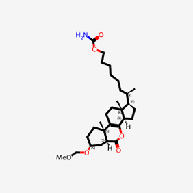 COCO[C@H]1CC[C@]2(C)C3=C(OC(=O)[C@H]2C1)[C@@H]1CC[C@H]([C@H](C)CCCCCCOC(N)=O)[C@@]1(C)CC3